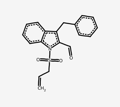 C=CCS(=O)(=O)n1c(C=O)c(Cc2ccccc2)c2ccccc21